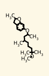 COC(C)(C)CCCC(C)CC(C)Oc1ccc2c(c1)OC(C)C2